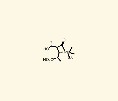 C[C@@H](O)[C@H]1C(=O)N([Si](C)(C)C(C)(C)C)[C@@H]1[C@@H](C)C(=O)O